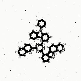 c1ccc(-n2c3ccccc3c3c(-c4nc(-c5ccc6ccccc6c5)nc(-c5cccc6oc7c8cnccc8ccc7c56)n4)cccc32)cc1